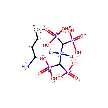 CC[N+](CC)(C(P(=O)(O)O)P(=O)(O)O)C(P(=O)(O)O)P(=O)(O)O.NCCCC(=O)O